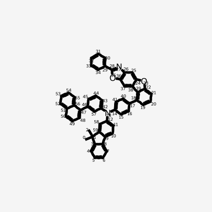 CC1(C)c2ccccc2-c2ccc(N(c3ccc(-c4cccc5oc6cc7nc(-c8ccccc8)oc7cc6c45)cc3)c3cccc(-c4cccc5ccccc45)c3)cc21